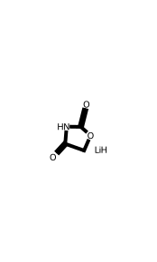 O=C1COC(=O)N1.[LiH]